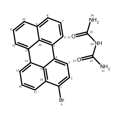 Brc1ccc2c3cccc4cccc(c5cccc1c52)c43.NC(=O)NC(N)=O